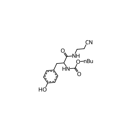 CCCCOC(=O)NC(Cc1ccc(O)cc1)C(=O)NCCC#N